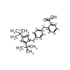 CC(C)(C)c1nc(C(C)(C)C)n(Cc2ccc(Cc3ccccc3C(=O)O)cc2)n1